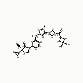 Cn1nc(Nc2cc(N3CC[C@@](C#N)(C4CC4)C3=O)ccn2)cc1C1CN(C(=O)C2CC(F)(F)C2)C1